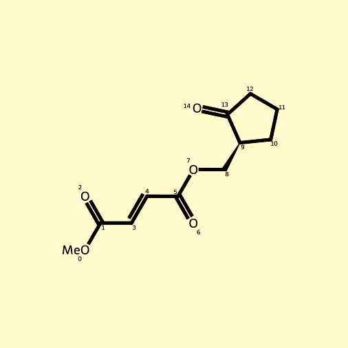 COC(=O)/C=C/C(=O)OC[C@@H]1CCCC1=O